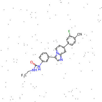 N#Cc1ccc(-c2ccn3c(-c4cccc(NC(=O)NCC(F)(F)F)c4)cnc3c2)cc1F